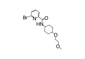 COCCOC1CCC(NC(=O)c2cccc(Br)n2)CC1